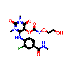 CNC(=O)c1ccc(Nc2c(OC(=O)NOCCO)c(=O)n(C)c(=O)n2C)c(F)c1